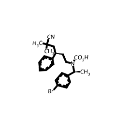 C[C@@H](c1ccc(Br)cc1)N(CC[C@H](CC(C)(C)C#N)c1ccccc1)C(=O)O